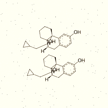 Oc1ccc2c(c1)[C@@]13CCCC[C@@]1(O)[C@@H](C2)N(CC1CC1)CC3.Oc1ccc2c(c1)[C@@]13CCCC[C@@]1(O)[C@@H](C2)N(CC1CC1)CC3